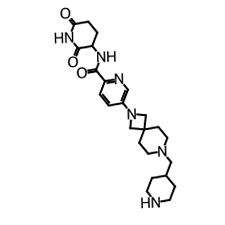 O=C1CCC(NC(=O)c2ccc(N3CC4(CCN(CC5CCNCC5)CC4)C3)cn2)C(=O)N1